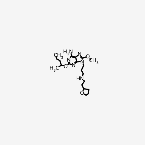 CCCC(C)Oc1nc(N)c2nc(OC)n(CCCNCCC3CCCO3)c2n1